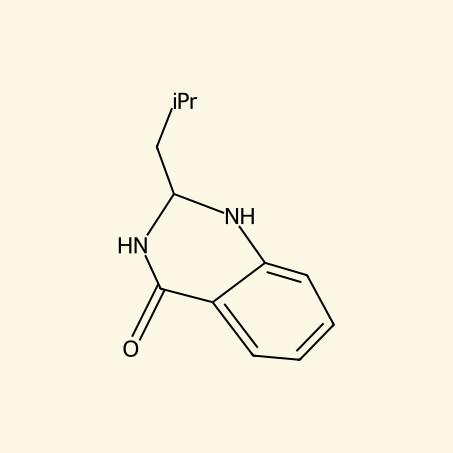 CC(C)CC1NC(=O)c2ccccc2N1